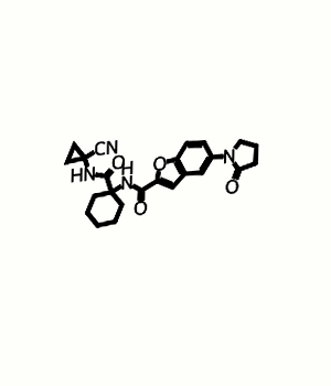 N#CC1(NC(=O)C2(NC(=O)c3cc4cc(N5CCCC5=O)ccc4o3)CCCCC2)CC1